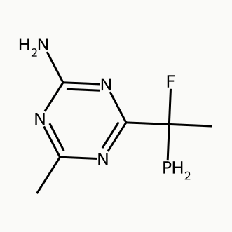 Cc1nc(N)nc(C(C)(F)P)n1